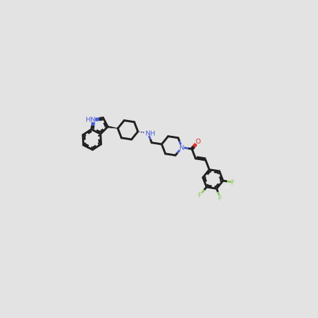 O=C(/C=C/c1cc(F)c(F)c(F)c1)N1CCC(CN[C@H]2CC[C@H](c3c[nH]c4ccccc43)CC2)CC1